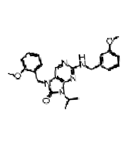 COc1cccc(CNc2ncc3c(n2)n(C(C)C)c(=O)n3Cc2ccccc2OC)c1